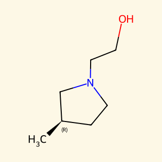 C[C@@H]1CCN(CCO)C1